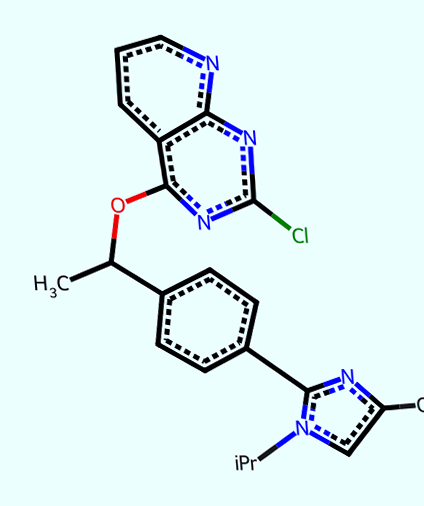 CC(Oc1nc(Cl)nc2ncccc12)c1ccc(-c2nc(C(F)(F)F)cn2C(C)C)cc1